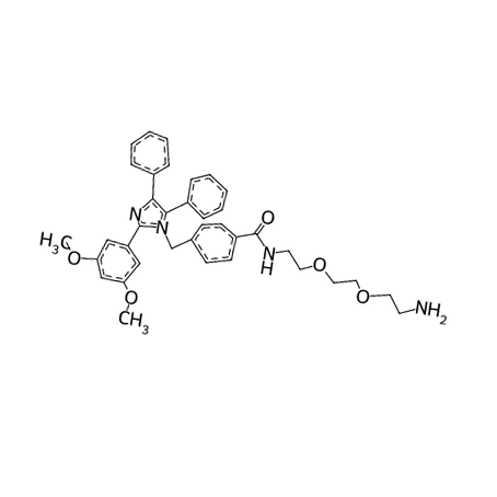 COc1cc(OC)cc(-c2nc(-c3ccccc3)c(-c3ccccc3)n2Cc2ccc(C(=O)NCCOCCOCCN)cc2)c1